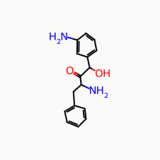 Nc1cccc(C(O)C(=O)C(N)Cc2ccccc2)c1